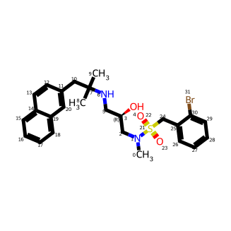 CN(C[C@H](O)CNC(C)(C)Cc1ccc2ccccc2c1)S(=O)(=O)Cc1ccccc1Br